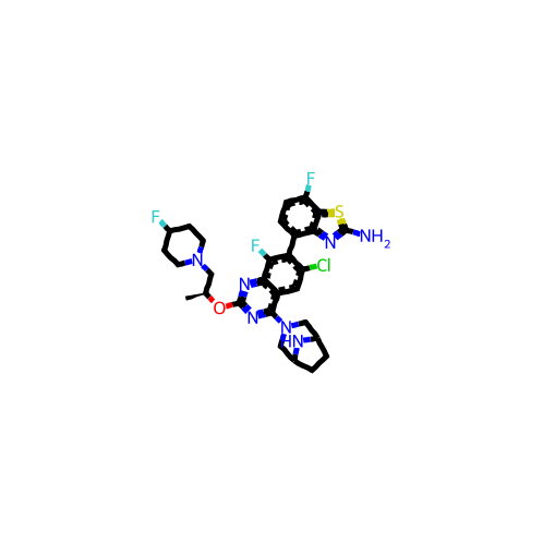 C[C@@H](CN1CCC(F)CC1)Oc1nc(N2CC3CCC(C2)N3)c2cc(Cl)c(-c3ccc(F)c4sc(N)nc34)c(F)c2n1